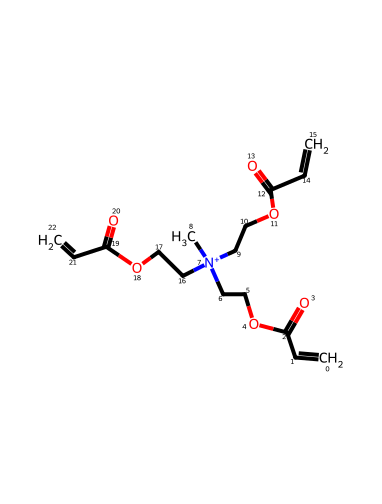 C=CC(=O)OCC[N+](C)(CCOC(=O)C=C)CCOC(=O)C=C